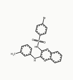 Cc1cccc(Nc2nc3ccccc3nc2NS(=O)(=O)c2ccc(Br)cc2)c1